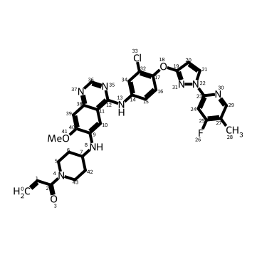 C=CC(=O)N1CCC(Nc2cc3c(Nc4ccc(Oc5ccn(-c6cc(F)c(C)cn6)n5)c(Cl)c4)ncnc3cc2OC)CC1